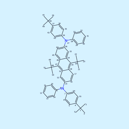 CC(C)(C)c1ccc(N(c2ccccc2)c2ccc3c(C(C)(C)C)c4cc(N(c5ccccc5)c5ccc(C(C)(C)C)cc5)ccc4c(C(C)(C)C)c3c2)cc1